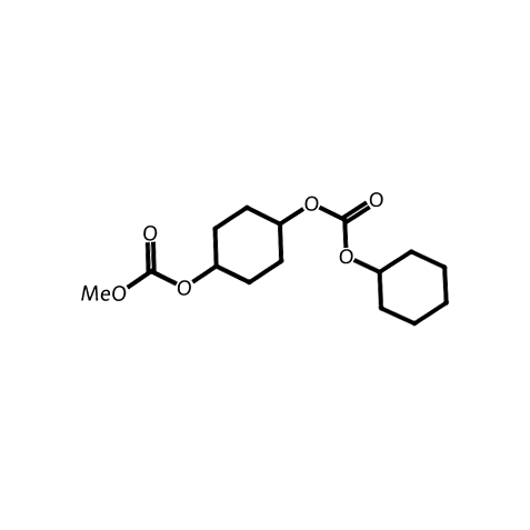 COC(=O)OC1CCC(OC(=O)OC2CCCCC2)CC1